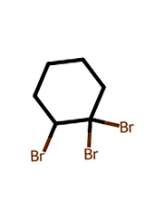 Br[C]1CCCCC1(Br)Br